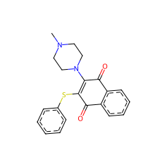 CN1CCN(C2=C(Sc3ccccc3)C(=O)c3ccccc3C2=O)CC1